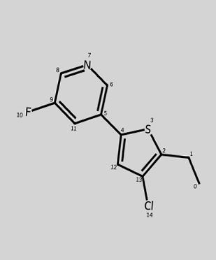 CCc1sc(-c2cncc(F)c2)cc1Cl